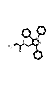 C=CC(=O)NCc1c(-c2ccccc2)nn(-c2ccccc2)c1-c1ccccc1